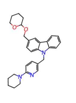 c1ccc2c(c1)c1cc(COC3CCCCO3)ccc1n2Cc1ccc(N2CCCCC2)nc1